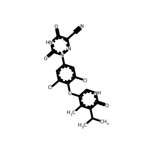 Cc1c(Oc2c(Cl)cc(-n3nc(C#N)c(=O)[nH]c3=O)cc2Cl)c[nH]c(=O)c1C(C)C